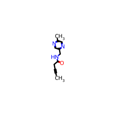 CC#CCC(=O)NCc1cnc(C)cn1